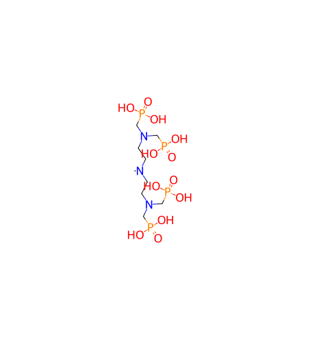 O=P(O)(O)CN(CC[N]CCN(CP(=O)(O)O)CP(=O)(O)O)CP(=O)(O)O